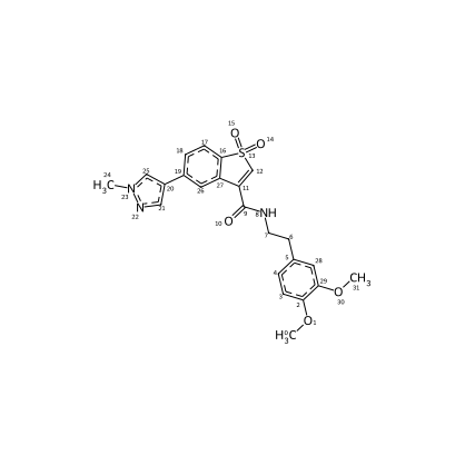 COc1ccc(CCNC(=O)C2=CS(=O)(=O)c3ccc(-c4cnn(C)c4)cc32)cc1OC